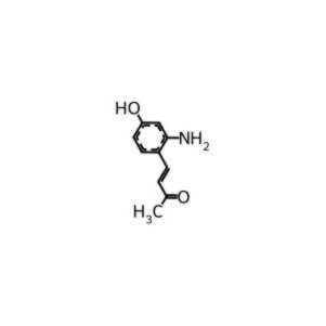 CC(=O)/C=C/c1ccc(O)cc1N